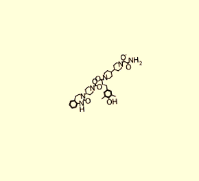 COC(C(N)=O)N1CCC(C2CCN(C(=O)[C@@H](Cc3cc(C)c(O)c(C)c3)OC(=O)N3CCC(N4CCc5ccccc5NC4=O)CC3)CC2)CC1